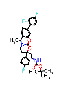 C[C@@H](c1ccc(-c2ccc(F)cc2F)cc1)N1CC[C@@](CCNC(=O)OC(C)(C)C)(c2ccc(F)cc2)OC1=O